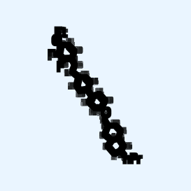 CCCC1CCC2CC(COc3ccc(-c4ccc(CCc5ccc(OCC)c(F)c5F)cc4)cc3)CCC2C1